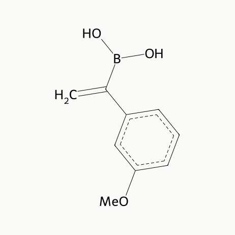 C=C(B(O)O)c1cccc(OC)c1